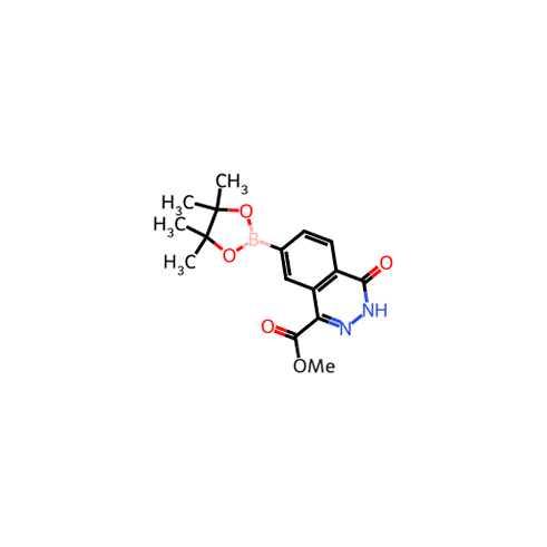 COC(=O)c1n[nH]c(=O)c2ccc(B3OC(C)(C)C(C)(C)O3)cc12